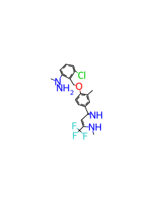 CN/C(=C\C(=N)c1ccc(OCc2c(Cl)cccc2N(C)N)c(C)c1)C(F)(F)F